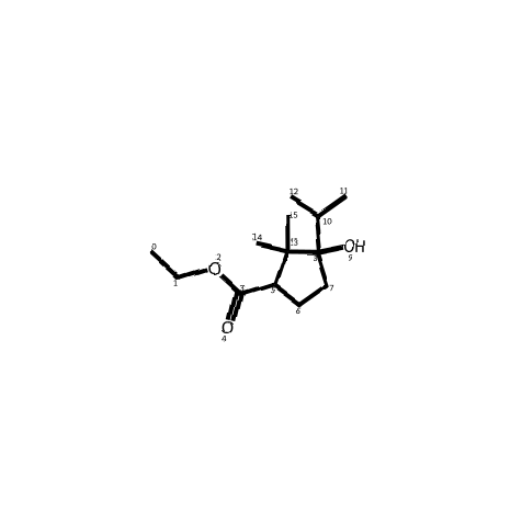 CCOC(=O)C1CCC(O)(C(C)C)C1(C)C